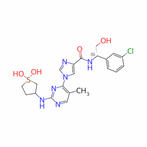 Cc1cnc(NC2CCS(O)(O)C2)nc1-n1cnc(C(=O)N[C@H](CO)c2cccc(Cl)c2)c1